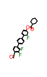 O=C(OC1=CC=C(c2ccc(-c3ccc(C4CO4)c(F)c3F)cc2)C(F)C1)C1CCCCC1